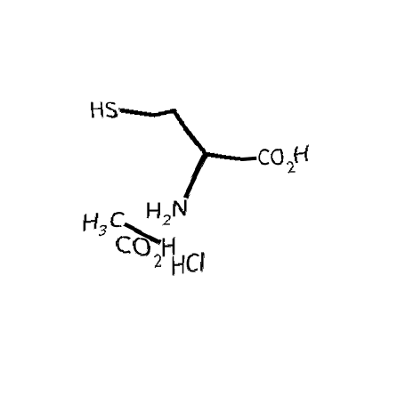 CC(=O)O.Cl.NC(CS)C(=O)O